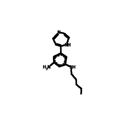 CCCCCNc1cc(N)cc(C2=CC=NC=CN2)c1